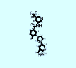 Cc1ccc(C(=O)Nc2cncc(C(F)(F)F)c2)cc1[C@@H]1CCN(c2cnc3[nH]ncc3c2)C1